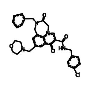 O=C(NCc1ccc(Cl)cc1)c1cn2c3c(cc(CN4CCOCC4)cc3c1=O)CN(Cc1ccccc1)C(=O)C2